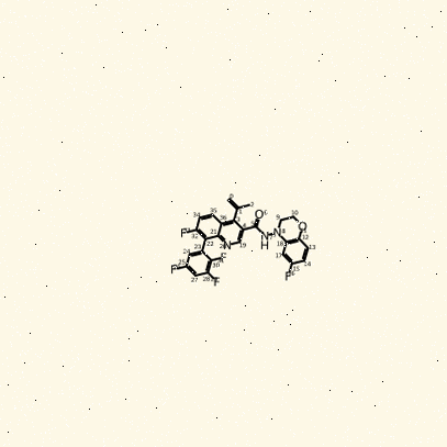 C=C(C)c1c(C(=O)NN2CCOc3ccc(F)cc32)cnc2c(-c3cc(F)cc(F)c3F)c(F)ccc12